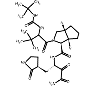 CC(C)(C)NC(=O)NC(C(=O)N1C[C@@H]2CCC[C@@H]2[C@H]1C(=O)N[C@@H](C[C@@H]1CCNC1=O)C(=O)C(N)=O)C(C)(C)C